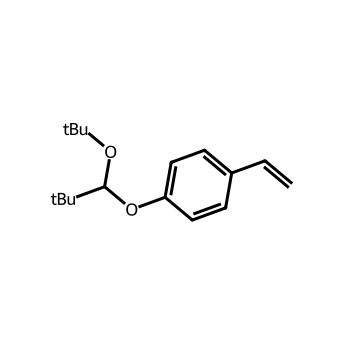 C=Cc1ccc(OC(OC(C)(C)C)C(C)(C)C)cc1